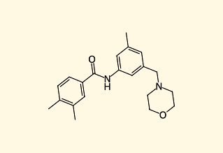 Cc1cc(CN2CCOCC2)cc(NC(=O)c2ccc(C)c(C)c2)c1